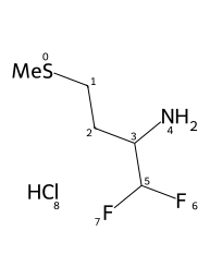 CSCCC(N)C(F)F.Cl